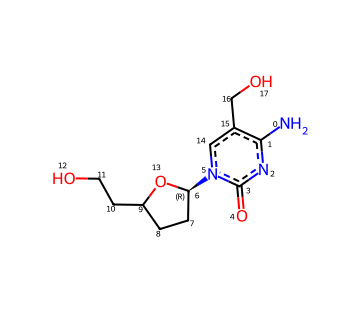 Nc1nc(=O)n([C@H]2CCC(CCO)O2)cc1CO